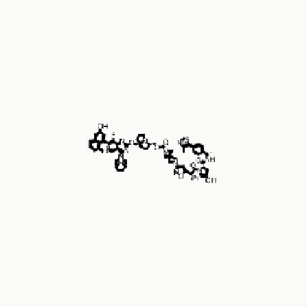 CCc1cccc2cc(O)cc(-c3ncc4c(N5CC6CCC(C5)N6)nc(OC[C@]56CCCN5[C@H](COC(=O)N5CC7(C5)CN(c5cc([C@@H](C(=O)N8C[C@H](O)C[C@H]8C(=O)N[C@@H](C)c8ccc(-c9scnc9C)cc8)C(C)C)on5)C7)CC6)nc4c3F)c12